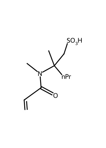 C=CC(=O)N(C)C(C)(CCC)CS(=O)(=O)O